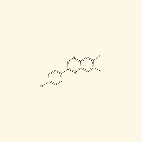 Fc1cc2ncc(-c3ccc(Br)cc3)nc2cc1F